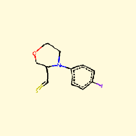 S=CC1COCCN1c1ccc(I)cc1